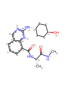 CNC(=O)[C@H](C)NC(=O)c1cccc2cnc(N[C@H]3CC[C@H](O)CC3)nc12